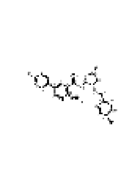 CN1C[C@H](NC(=O)c2cc(-c3ccc(F)nc3)cnc2N)[C@@H](OCc2ccc(Br)cc2)C1